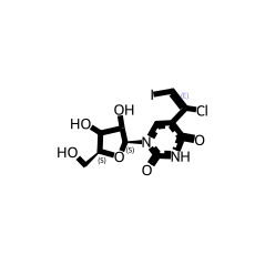 O=c1[nH]c(=O)n([C@H]2O[C@@H](CO)C(O)C2O)cc1/C(Cl)=C\I